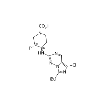 CCC(C)c1nc(Cl)c2cnc(N[C@@H]3CCN(C(=O)O)C[C@H]3F)nn12